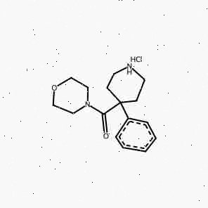 Cl.O=C(N1CCOCC1)C1(c2ccccc2)CCNCC1